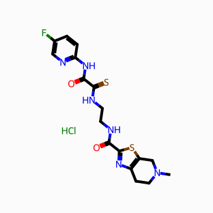 CN1CCc2nc(C(=O)NCCNC(=S)C(=O)Nc3ccc(F)cn3)sc2C1.Cl